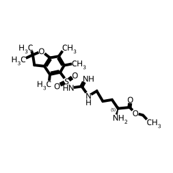 CCOC(=O)[C@@H](N)CCCNC(=N)NS(=O)(=O)c1c(C)c(C)c2c(c1C)CC(C)(C)O2